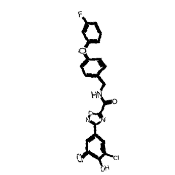 O=C(NCc1ccc(Oc2cccc(F)c2)cc1)c1nc(-c2cc(Cl)c(O)c(Cl)c2)no1